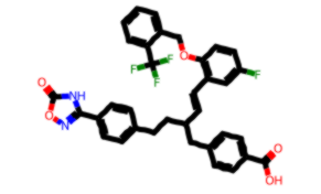 O=C(O)c1ccc(CC(/C=C/c2cc(F)ccc2OCc2ccccc2C(F)(F)F)CCc2ccc(-c3noc(=O)[nH]3)cc2)cc1